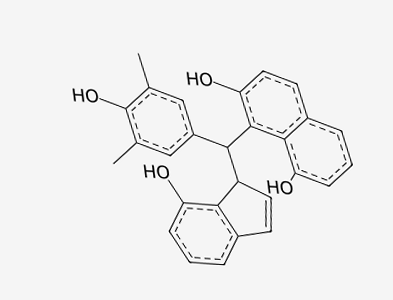 Cc1cc(C(c2c(O)ccc3cccc(O)c23)C2C=Cc3cccc(O)c32)cc(C)c1O